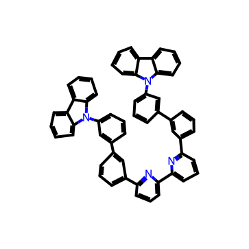 c1cc(-c2cccc(-n3c4ccccc4c4ccccc43)c2)cc(-c2cccc(-c3cccc(-c4cccc(-c5cccc(-n6c7ccccc7c7ccccc76)c5)c4)n3)n2)c1